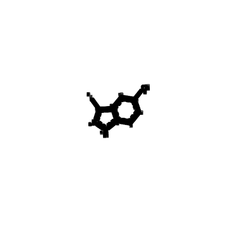 N#Cc1ccc2[nH]nc(I)c2c1